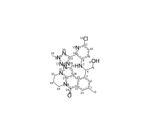 Cc1cc(C(CO)Nc2ccc(Cl)nc2-c2nnn(C)n2)c2c(c1)c(=O)n1c3c2cnn3CCC1